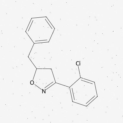 Clc1ccccc1C1=NOC(Cc2ccccc2)C1